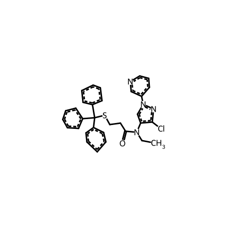 CCN(C(=O)CCSC(c1ccccc1)(c1ccccc1)c1ccccc1)c1cn(-c2cccnc2)nc1Cl